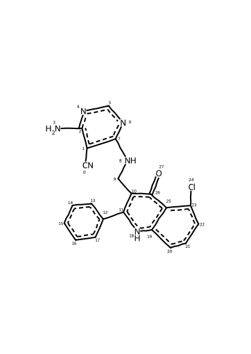 N#Cc1c(N)ncnc1NCc1c(-c2ccccc2)[nH]c2cccc(Cl)c2c1=O